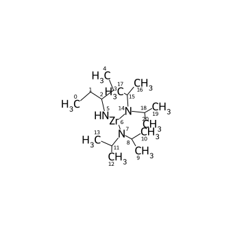 CCC(CC)[NH][Zr]([N](C(C)C)C(C)C)[N](C(C)C)C(C)C